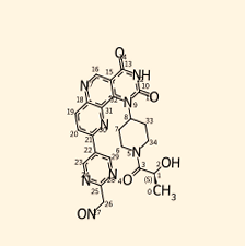 C[C@H](O)C(=O)N1CCC(n2c(=O)[nH]c(=O)c3cnc4ccc(-c5cnc(CN=O)nc5)nc4c32)CC1